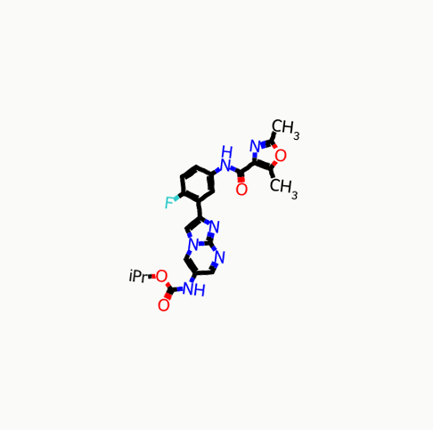 Cc1nc(C(=O)Nc2ccc(F)c(-c3cn4cc(NC(=O)OC(C)C)cnc4n3)c2)c(C)o1